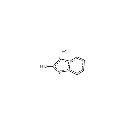 Cc1nc2ccccc2s1.Cl